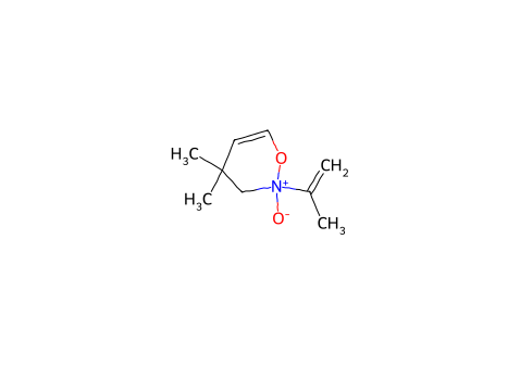 C=C(C)[N+]1([O-])CC(C)(C)C=CO1